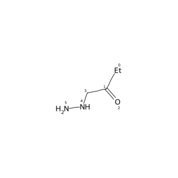 CCC(=O)CNN